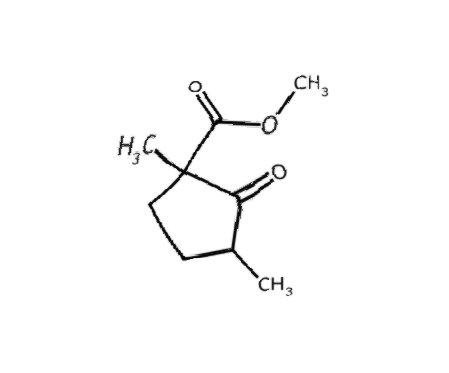 COC(=O)C1(C)CCC(C)C1=O